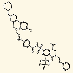 CN(C)CC[C@H](CSc1ccccc1)Nc1ccc(S(=O)(=O)NC(=O)c2ccc(NCCNCC3=C(c4ccc(Cl)cc4)CCN(CC4CCCCC4)C3)cc2)cc1S(=O)(=O)C(F)(F)F